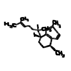 CC(C)=CCCC(C)(I)[C@@]1(I)CC[C@H](C)c2ccc(C)cc21